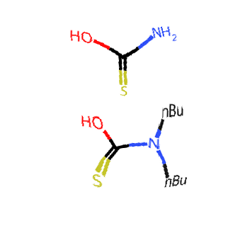 CCCCN(CCCC)C(O)=S.NC(O)=S